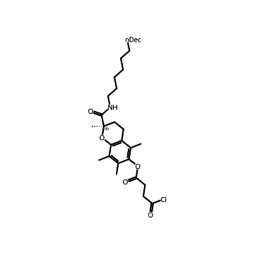 CCCCCCCCCCCCCCCCNC(=O)[C@@]1(C)CCc2c(C)c(OC(=O)CCC(=O)Cl)c(C)c(C)c2O1